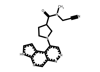 CN(CC#N)C(=O)C1CCN(c2cnnc3cnc4[nH]ccc4c23)C1